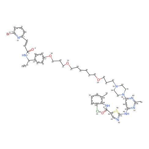 CCCC(NC(=O)/C=C/c1cccc(Br)n1)c1ccc(OCCCOCCCCCCOCCCN2CCN(c3cc(Nc4ncc(C(=O)Nc5c(C)cccc5Cl)s4)nc(C)n3)CC2)cc1